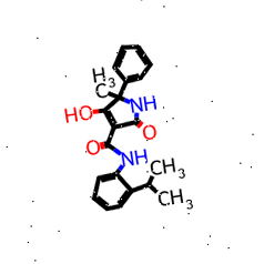 CC(C)c1ccccc1NC(=O)C1=C(O)C(C)(c2ccccc2)NC1=O